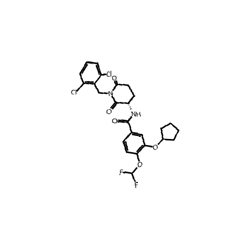 O=C(N[C@H]1CCC(=O)N(Cc2c(Cl)cccc2Cl)C1=O)c1ccc(OC(F)F)c(OC2CCCC2)c1